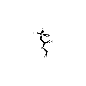 [O]CNC(O)CP(=O)(O)O